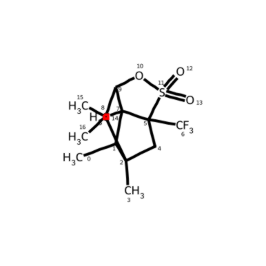 CC1C2(C)CC3(C(F)(F)F)C1(C)C(OS3(=O)=O)C2(C)C